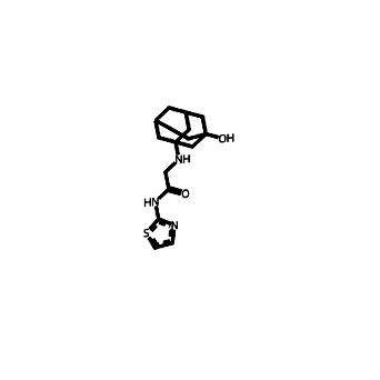 O=C(CNC12CC3CC(CC(O)(C3)C1)C2)Nc1nccs1